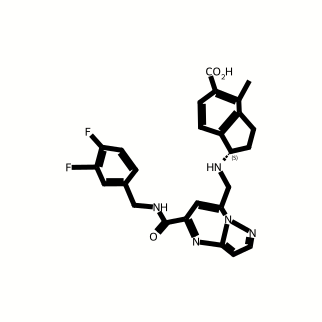 Cc1c(C(=O)O)ccc2c1CC[C@@H]2NCc1cc(C(=O)NCc2ccc(F)c(F)c2)nc2ccnn12